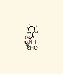 C[C@@H]([C]=O)NC(=O)CC1CCCCC1